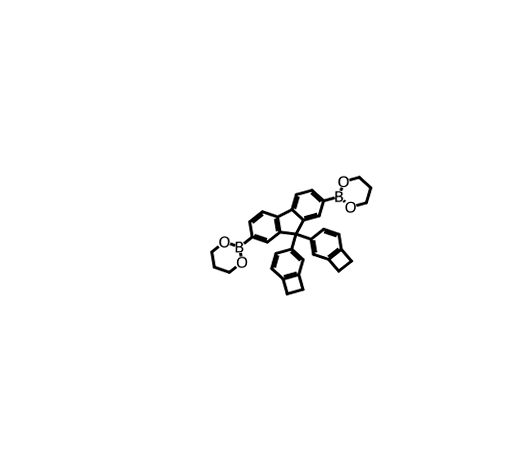 c1cc2c(cc1B1OCCCO1)C(c1ccc3c(c1)CC3)(c1ccc3c(c1)CC3)c1cc(B3OCCCO3)ccc1-2